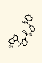 N#Cc1ccc2nccc(Nc3ccnc(C(=O)Nc4cccc(Nc5ccncc5)c4)c3)c2c1